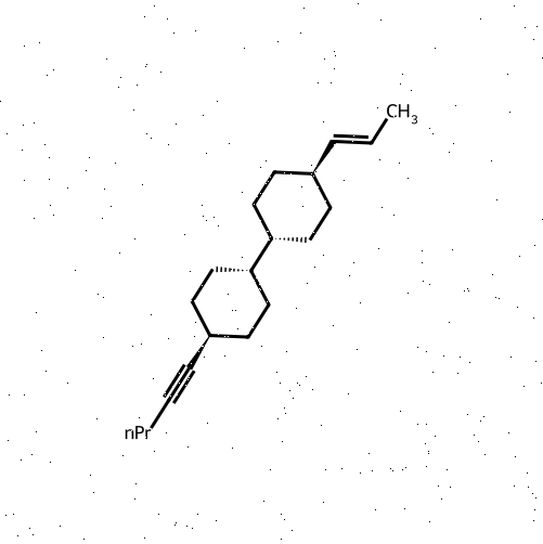 C/C=C/[C@H]1CC[C@H]([C@H]2CC[C@H](C#CCCC)CC2)CC1